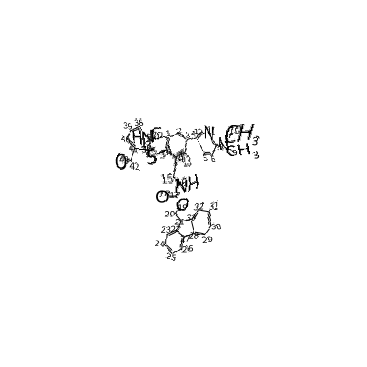 Cc1cc(-c2ccc(N(C)C)nc2)cc(CNC(=O)OCC2c3ccccc3-c3ccccc32)c1Sc1ncccc1C=O